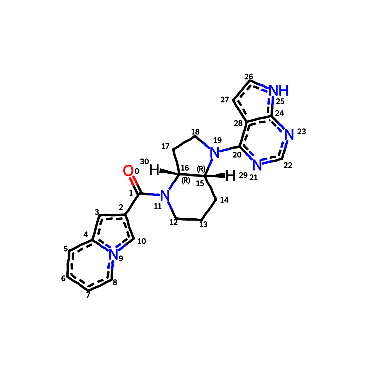 O=C(c1cc2ccccn2c1)N1CCC[C@@H]2[C@H]1CCN2c1ncnc2[nH]ccc12